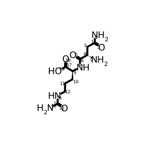 NC(=O)C[C@H](N)C(=O)N[C@@H](CCCNC(N)=O)C(=O)O